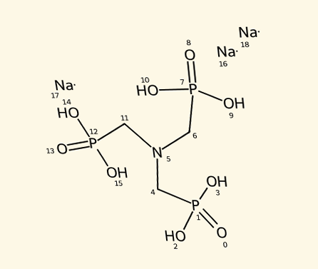 O=P(O)(O)CN(CP(=O)(O)O)CP(=O)(O)O.[Na].[Na].[Na]